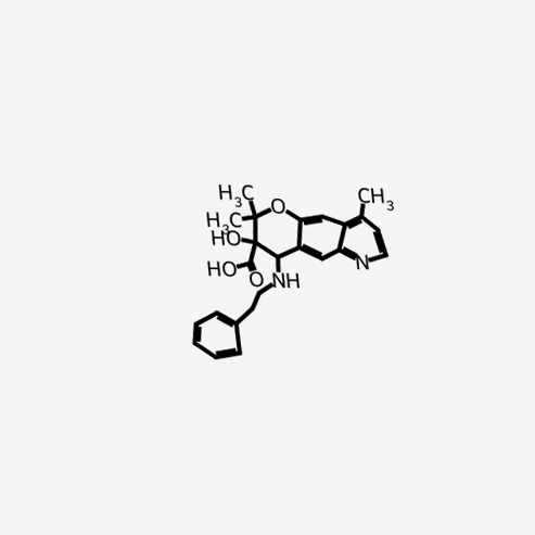 Cc1ccnc2cc3c(cc12)OC(C)(C)C(O)(C(=O)O)C3NCCc1ccccc1